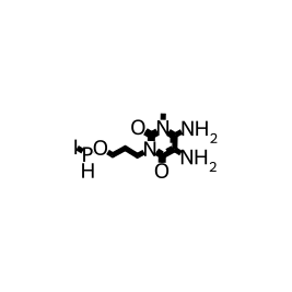 Cn1c(N)c(N)c(=O)n(CCCOPI)c1=O